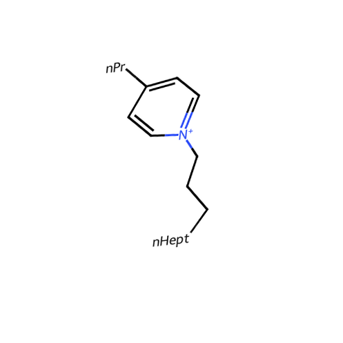 CCCCCCCCCC[n+]1ccc(CCC)cc1